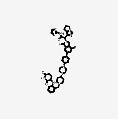 O=C1CCC(Nc2ccccc2CN2CCC(N3CCN(c4ccc(-c5cc(F)c6c(c5)C(=O)N(C(C(=O)Nc5nccs5)c5ncn7c5CCC7)C6)cc4)CC3)CC2)C(=O)N1